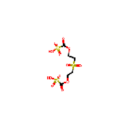 O=C(OCCS(=O)(=O)CCOC(=O)S(=O)(=O)O)S(=O)(=O)O